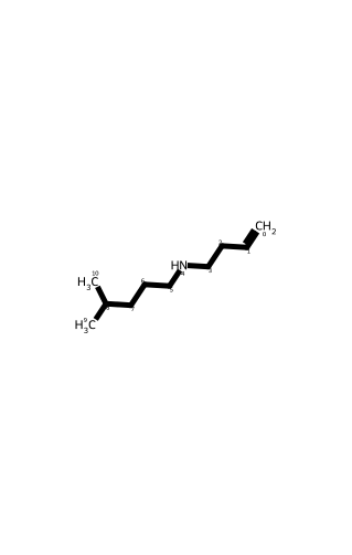 C=CCCNCCCC(C)C